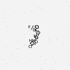 O=C(Nc1ccc(Cl)cn1)c1ccc(N2CCCN(C(=O)c3ccccc3C(F)(F)F)C2)nc1